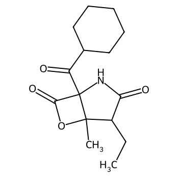 CCC1C(=O)NC2(C(=O)C3CCCCC3)C(=O)OC12C